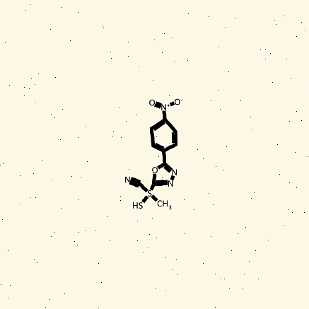 CS(S)(C#N)c1nnc(-c2ccc([N+](=O)[O-])cc2)o1